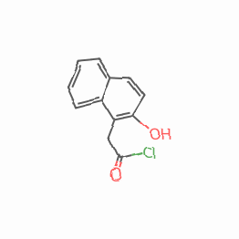 O=C(Cl)Cc1c(O)ccc2ccccc12